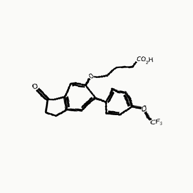 O=C(O)CCCOc1cc2c(cc1-c1ccc(OC(F)(F)F)cc1)CCC2=O